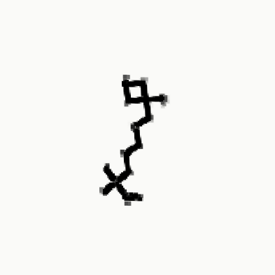 CCC1(COCCC[Si](C)(C)OC)COC1